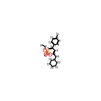 CCOP1(=O)C=C(c2ccc(C)cc2)C=C(CC2CCCCC2)O1